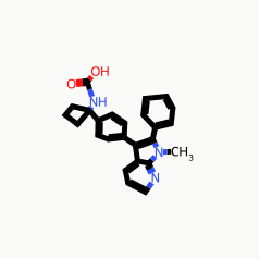 Cn1c(-c2ccccc2)c(-c2ccc(C3(NC(=O)O)CCC3)cc2)c2cccnc21